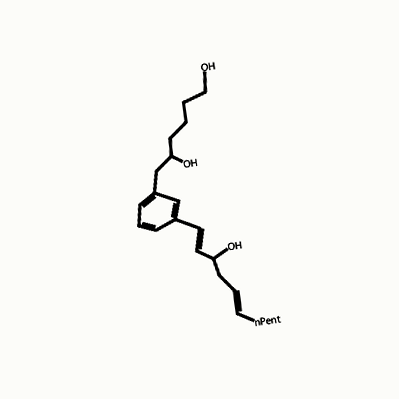 CCCCCC=CCC(O)C=Cc1cccc(CC(O)CCCCO)c1